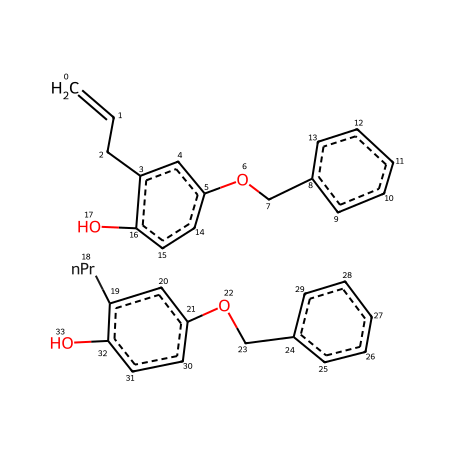 C=CCc1cc(OCc2ccccc2)ccc1O.CCCc1cc(OCc2ccccc2)ccc1O